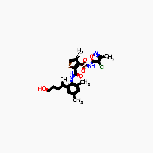 Cc1cc(C)c(NC(=O)c2scc(C)c2S(=O)(=O)Nc2onc(C)c2Cl)c(C(C)CCCO)c1